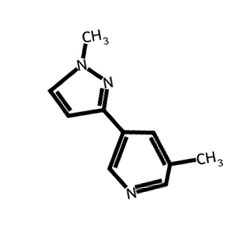 Cc1cncc(-c2ccn(C)n2)c1